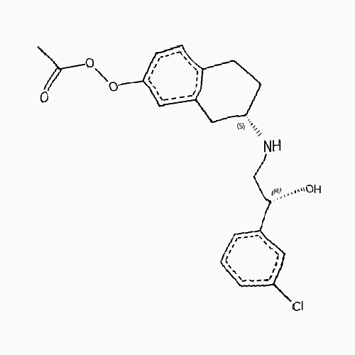 CC(=O)OOc1ccc2c(c1)C[C@@H](NC[C@H](O)c1cccc(Cl)c1)CC2